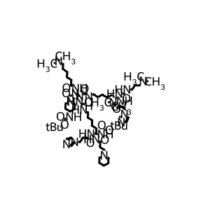 CN(C)CCCCCC(=O)N[N+](C(=O)N1CCC(NC(=O)OC(C)(C)C)CC1)N(NC(=O)NCCCCCC(NC(=O)CCN1CCCCC1)(NC(=O)CCn1ccnc1)NC(=O)OC(C)(C)C)C(=O)NCCCCC[C@](NC(=O)Cn1ccnc1)(NC(=O)NCCCN(C)C)N(C)C